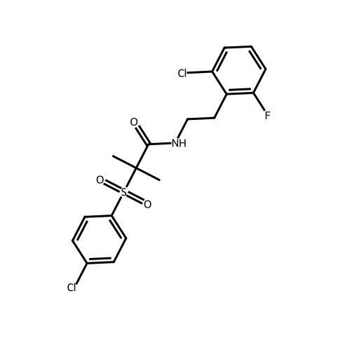 CC(C)(C(=O)NCCc1c(F)cccc1Cl)S(=O)(=O)c1ccc(Cl)cc1